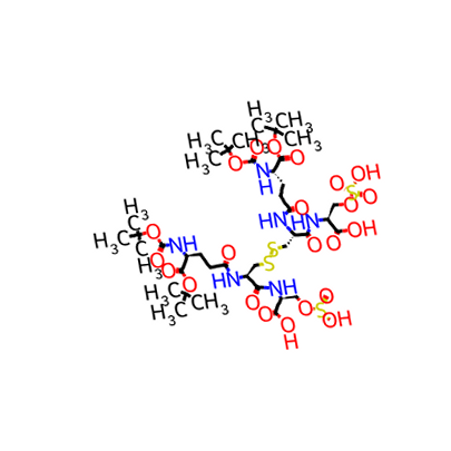 CC(C)(C)OC(=O)N[C@@H](CCC(=O)N[C@@H](CSSC[C@H](NC(=O)CC[C@H](NC(=O)OC(C)(C)C)C(=O)OC(C)(C)C)C(=O)N[C@@H](COS(=O)(=O)O)C(=O)O)C(=O)N[C@@H](COS(=O)O)C(=O)O)C(=O)OC(C)(C)C